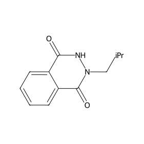 CC(C)Cn1[nH]c(=O)c2ccccc2c1=O